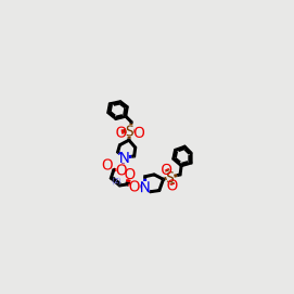 O=C(/C=C\C(=O)ON1CCC(S(=O)(=O)Cc2ccccc2)CC1)ON1CCC(S(=O)(=O)Cc2ccccc2)CC1